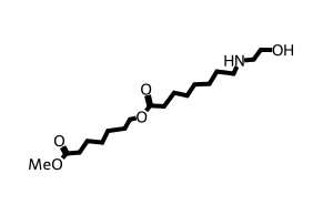 COC(=O)CCCCCCOC(=O)CCCCCCCNCCO